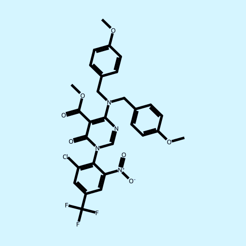 COC(=O)c1c(N(Cc2ccc(OC)cc2)Cc2ccc(OC)cc2)ncn(-c2c(Cl)cc(C(F)(F)F)cc2[N+](=O)[O-])c1=O